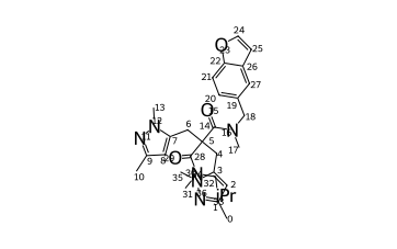 Cc1cc(CC(Cc2cc(C)nn2C)(C(=O)N(C)Cc2ccc3occc3c2)C(=O)N(C)CC(C)C)n(C)n1